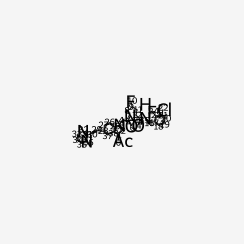 CC(=O)c1cn(CC(=O)N2CC(F)CC2C(=O)NCc2cccc(Cl)c2F)c2ccc(C#Cc3ncccn3)cc12